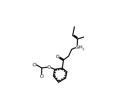 CC=C(C)[SiH2]CCC(=O)c1ccccc1OC(Cl)Cl